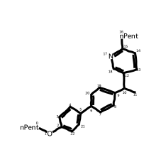 CCCCCOc1ccc(-c2ccc(C(C)c3ccc(CCCCC)nc3)cc2)cc1